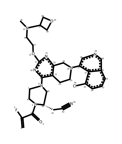 C=C(F)C(=O)N1CCN(c2nc(OCCN(C)C3COC3)nc3c2CCN(c2cncc4cccc(Cl)c24)C3)C[C@@H]1CC#N